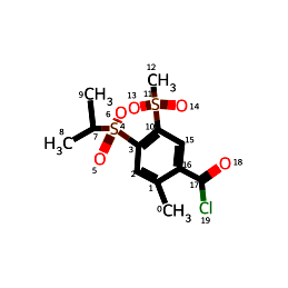 Cc1cc(S(=O)(=O)C(C)C)c(S(C)(=O)=O)cc1C(=O)Cl